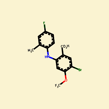 Cc1cc(F)ccc1Nc1cc(OC(F)(F)F)c(Br)cc1C(=O)O